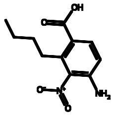 CCCCc1c(C(=O)O)ccc(N)c1[N+](=O)[O-]